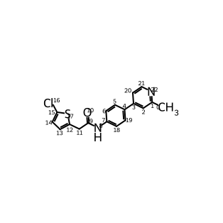 Cc1cc(-c2ccc(NC(=O)Cc3ccc(Cl)s3)cc2)ccn1